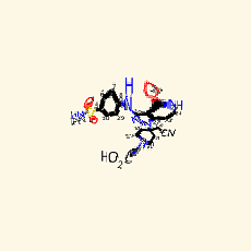 CC(C)NS(=O)(=O)c1ccc(Nc2nn(C3(CC#N)CCN(C(=O)O)CC3)c3cc[nH]c(=O)c23)cc1